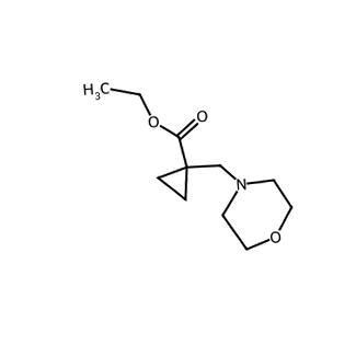 CCOC(=O)C1(CN2CCOCC2)CC1